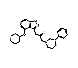 O=C(Cc1n[nH]c2ccnc(OC3CCCCC3)c12)CN1CCCC(c2ccccc2)C1